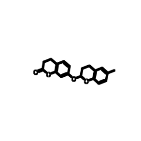 Cc1ccc2c(c1)CCC(Oc1ccc3c(c1)OC(=O)CC3)O2